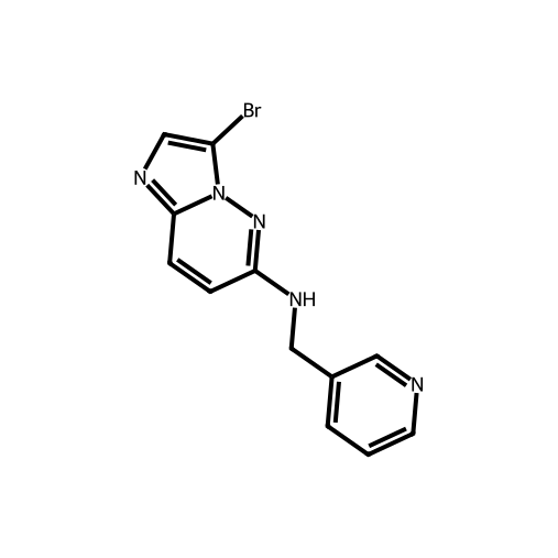 Brc1cnc2ccc(NCc3cccnc3)nn12